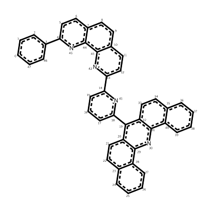 c1ccc(-c2ccc3ccc4ccc(-c5cccc(-c6c7ccc8ccccc8c7nc7c6ccc6ccccc67)n5)nc4c3n2)cc1